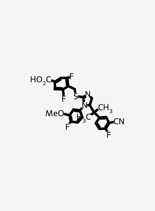 COc1cc(N2C(SCc3c(F)cc(C(=O)O)cc3F)=NCC2C(C)(C)c2ccc(F)c(C#N)c2)ccc1F